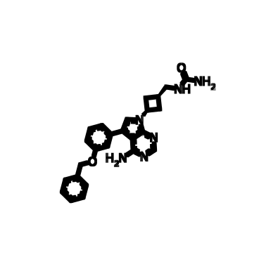 NC(=O)NC[C@H]1C[C@@H](n2cc(-c3cccc(OCc4ccccc4)c3)c3c(N)ncnc32)C1